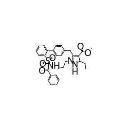 CCCN1NC(CC)C(C(=O)OC)=C1Cc1ccc(-c2ccccc2S(=O)(=O)NC(=O)c2ccccc2)cc1